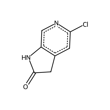 O=C1Cc2cc(Cl)ncc2N1